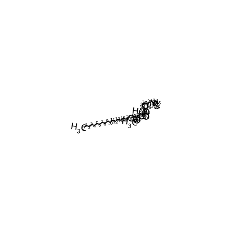 CCCCCCCCCCCCCCCCCCOCC(COP(=O)(O)Oc1cccc(CN2C=CSC2)c1)OC